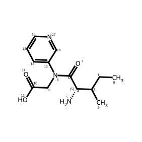 CCC(C)[C@H](N)C(=O)N(CC(=O)O)c1cccnc1